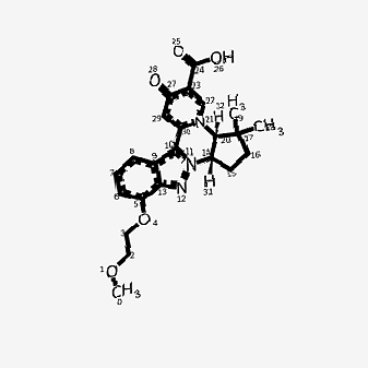 COCCOc1cccc2c3n(nc12)[C@H]1CCC(C)(C)[C@H]1n1cc(C(=O)O)c(=O)cc1-3